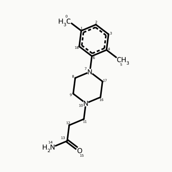 Cc1ccc(C)c(N2CCN(CCC(N)=O)CC2)c1